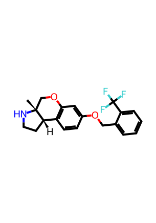 C[C@@]12COc3cc(OCc4ccccc4C(F)(F)F)ccc3[C@@H]1CCN2